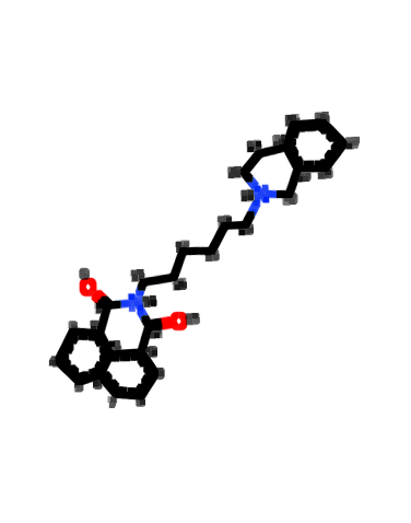 O=C1c2cccc3cccc(c23)C(=O)N1CCCCCCN1CCc2ccccc2C1